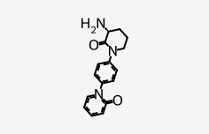 N[C@H]1CCCN(c2ccc(-n3ccccc3=O)cc2)C1=O